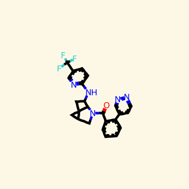 O=C(c1ccccc1-c1ccnnc1)N1CC2CC23CC(Nc2ccc(C(F)(F)F)cn2)C13